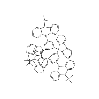 CC(C)(C)C1c2ccccc2N(c2cc(N3c4ccccc4C(C(C)(C)C)c4ccccc43)cc(C3(c4cc(N5c6ccccc6C(C(C)(C)C)c6ccccc65)cc(N5c6ccccc6C(C(C)(C)C)c6ccccc65)c4)c4ccccc4-c4ccccc43)c2)c2ccccc21